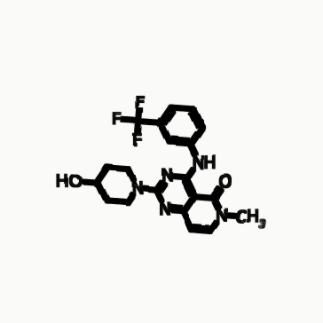 Cn1ccc2nc(N3CCC(O)CC3)nc(Nc3cccc(C(F)(F)F)c3)c2c1=O